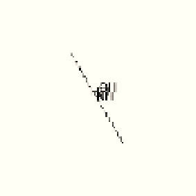 CCCCCCCCCCCCCCCCCCC(CCCCCCCCCCCCCCCCCC)NCCO.Cl